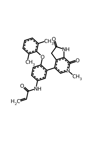 C=CC(=O)Nc1ccc(Oc2c(C)cccc2C)c(-c2cn(C)c(=O)c3c2CC(=O)N3)c1